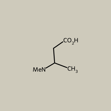 CNC(C)CC(=O)O